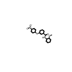 COc1ccccc1NC(=O)c1cccc(Sc2ccc([N+](=O)[O-])cc2)c1